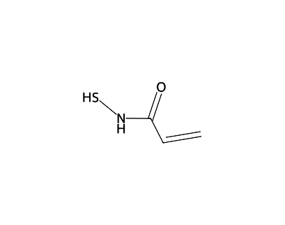 C=CC(=O)NS